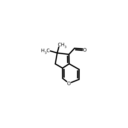 CC1(C)CC2=COC=CC2=C1C=O